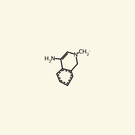 [CH2]N1C=C(N)c2ccccc2C1